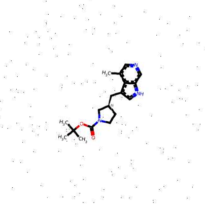 Cc1cncc2[nH]cc(C[C@H]3CCN(C(=O)OC(C)(C)C)C3)c12